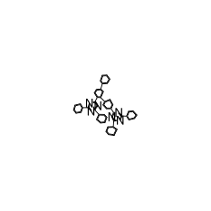 c1ccc(-c2ccc(-c3nc(-c4ccccc4)nc(-c4ccccc4)n3)c(-c3ccc(-c4nc(-c5ccccc5)nc(-c5ccccc5)n4)cc3)c2)cc1